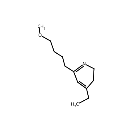 CCC1=CC(CCCCOC)=NCC1